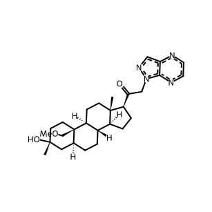 COC[C@]12CC[C@@](C)(O)C[C@@H]1CC[C@H]1[C@@H]3CC[C@H](C(=O)Cn4ncc5nccnc54)[C@@]3(C)CC[C@@H]12